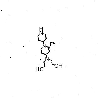 CC[C@@H]1CC(N(CCO)CCO)CCN1C1CCNCC1